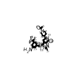 CC(=O)N1CCC(c2cc3c(N[C@H](C)c4cc(N)cc(C(F)(F)F)c4)nc(C)nc3c(=O)n2C)CC1